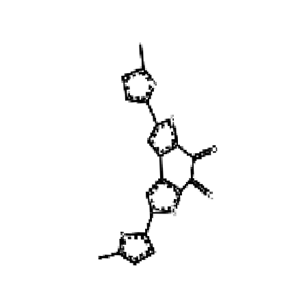 Cc1ccc(-c2cc3c(s2)C(=O)C(=O)c2sc(-c4ccc(C)s4)cc2-3)s1